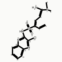 C=C/C(=C\C=C(/N)N(C)C)S(=O)(=O)Nc1nc2ccccc2nc1Cl